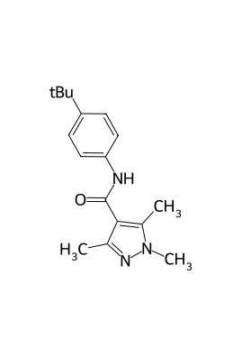 Cc1nn(C)c(C)c1C(=O)Nc1ccc(C(C)(C)C)cc1